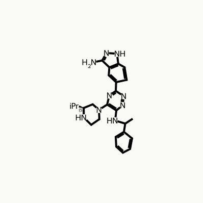 CC(Nc1nnc(-c2ccc3[nH]nc(N)c3c2)nc1N1CCN[C@@H](C(C)C)C1)c1ccccc1